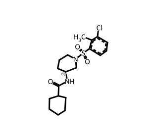 Cc1c(Cl)cccc1S(=O)(=O)N1CCC[C@H](NC(=O)C2CCCCC2)C1